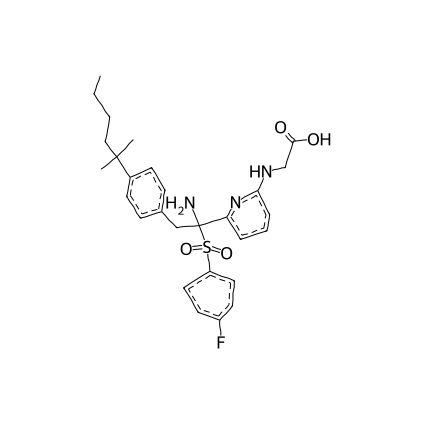 CCCCC(C)(C)c1ccc(CC(N)(c2cccc(NCC(=O)O)n2)S(=O)(=O)c2ccc(F)cc2)cc1